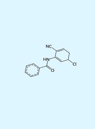 N#CC1=CCC(Cl)C=C1NC(=O)c1ccccc1